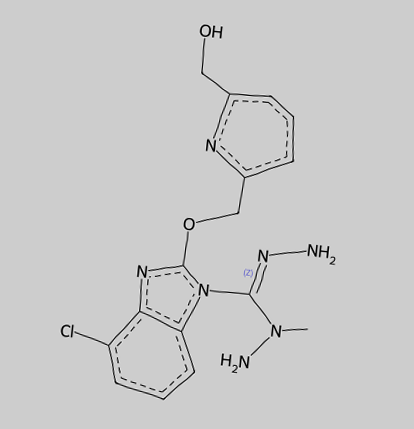 CN(N)/C(=N\N)n1c(OCc2cccc(CO)n2)nc2c(Cl)cccc21